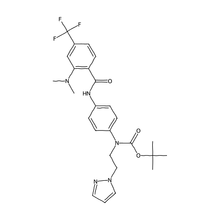 CN(C)c1cc(C(F)(F)F)ccc1C(=O)Nc1ccc(N(CCn2cccn2)C(=O)OC(C)(C)C)cc1